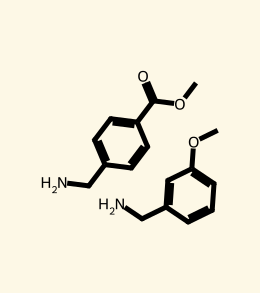 COC(=O)c1ccc(CN)cc1.COc1cccc(CN)c1